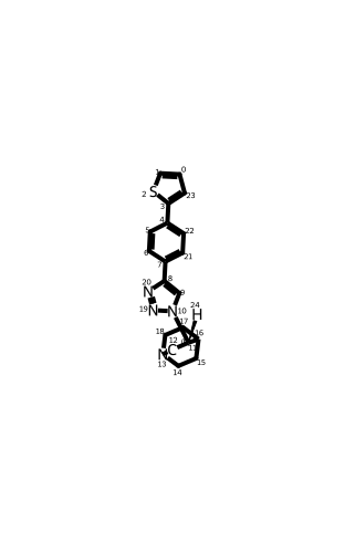 c1csc(-c2ccc(-c3cn([C@H]4CN5CCC4CC5)nn3)cc2)c1